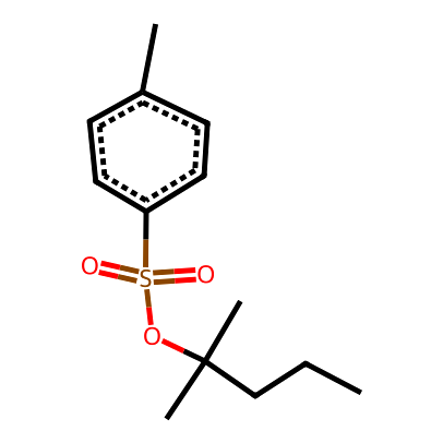 CCCC(C)(C)OS(=O)(=O)c1ccc(C)cc1